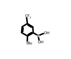 CC(C)(C)c1ccc(C(F)(F)F)cc1B(O)O